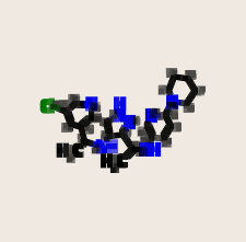 C=C(Nc1c[nH]nc1C(=C)Nc1ccc(N2CCCCC2)nc1)c1cncc(Cl)c1